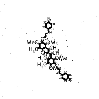 COc1c(C)c(C)c(C(C)C(=O)C(C)c2c(C)c(C)c(OC)c(OCCCc3ccc(F)cc3)c2OC)c(OC)c1OCCCc1ccc(F)cc1